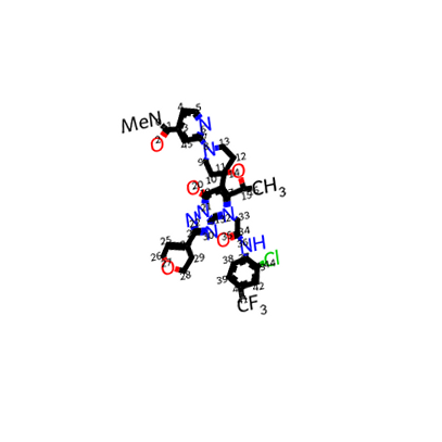 CNC(=O)c1ccnc(N2CCC3(CC2)OC(C)c2c3c(=O)n3nc(C4=CCOCC4)nc3n2CC(=O)Nc2ccc(C(F)(F)F)cc2Cl)c1